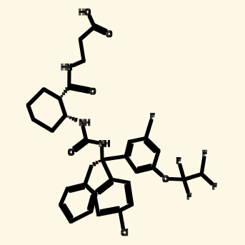 O=C(O)CCNC(=O)[C@H]1CCCC[C@H]1NC(=O)N[C@@](Cc1ccccc1)(c1cc(F)cc(OC(F)(F)C(F)F)c1)c1ccc(Cl)cn1